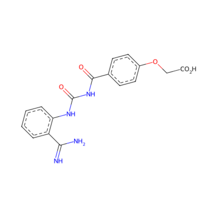 N=C(N)c1ccccc1NC(=O)NC(=O)c1ccc(OCC(=O)O)cc1